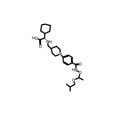 CC(C)COC(C)ONC(=O)c1ccc(N2CCC(CN[C@H](C(=O)O)C3CCCCC3)CC2)cc1